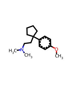 COc1ccc(C2(CCN(C)C)CCCC2)cc1